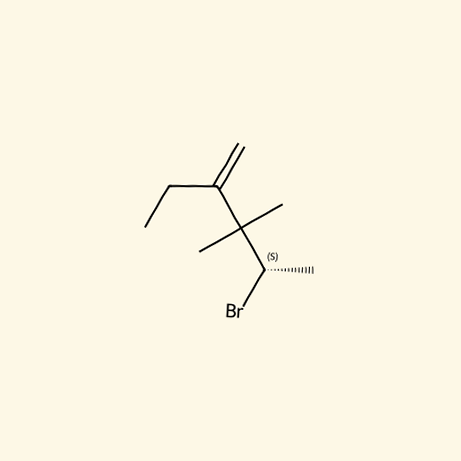 C=C(CC)C(C)(C)[C@H](C)Br